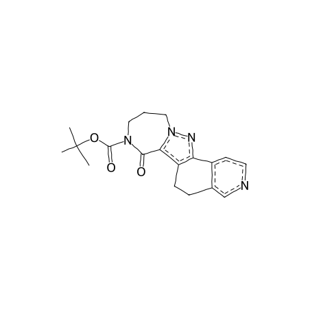 CC(C)(C)OC(=O)N1CCCn2nc3c(c2C1=O)CCc1cnccc1-3